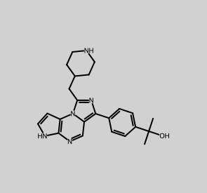 CC(C)(O)c1ccc(-c2nc(CC3CCNCC3)n3c2cnc2[nH]ccc23)cc1